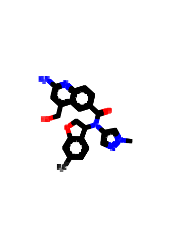 Cn1cc(N(C(=O)c2ccc3nc(N)cc(CO)c3c2)C2COc3cc(C(F)(F)F)ccc32)cn1